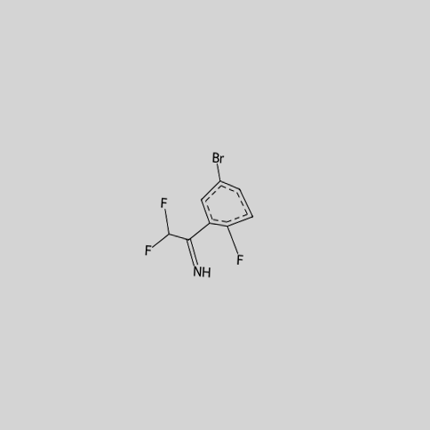 N=C(c1cc(Br)ccc1F)C(F)F